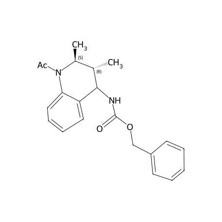 CC(=O)N1c2ccccc2C(NC(=O)OCc2ccccc2)[C@@H](C)[C@@H]1C